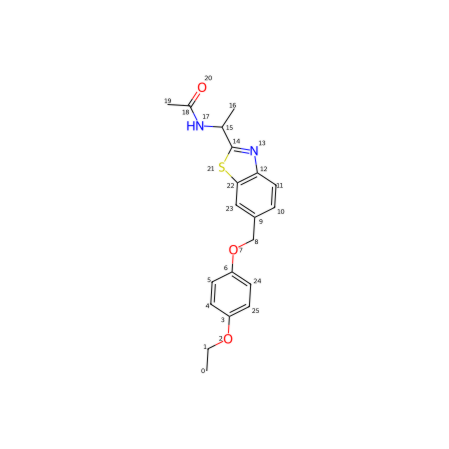 CCOc1ccc(OCc2ccc3nc(C(C)NC(C)=O)sc3c2)cc1